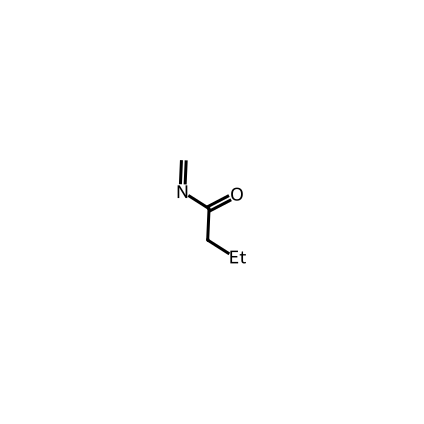 C=NC(=O)CCC